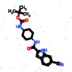 CC(C)(C)OC(=O)N[C@H]1CC[C@H](NC(=O)c2cc3ccc(C#N)cc3[nH]2)CC1